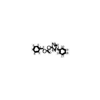 CC(OCc1ccccc1)Oc1ncn(-c2ccccc2)n1